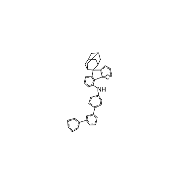 c1ccc(-c2cccc(-c3ccc(Nc4cccc5c4-c4ccccc4C54C5CC6CC(C5)CC4C6)cc3)c2)cc1